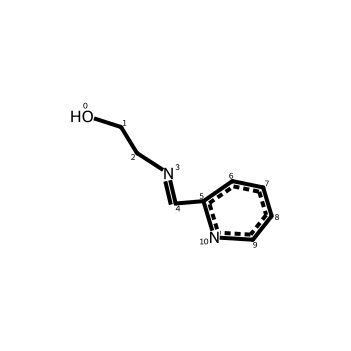 OCCN=Cc1ccccn1